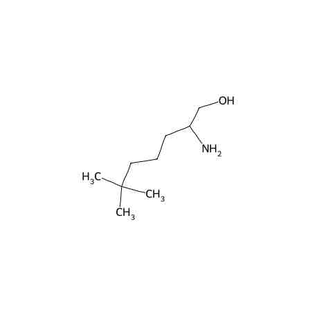 CC(C)(C)CCCC(N)CO